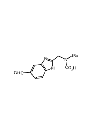 CC(C)(C)N(Cc1nc2cc(C=O)ccc2[nH]1)C(=O)O